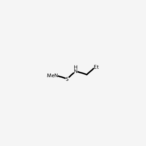 CCCNSNC